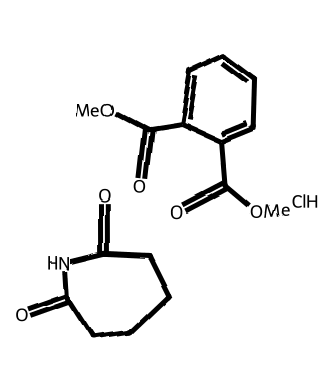 COC(=O)c1ccccc1C(=O)OC.Cl.O=C1CCCCC(=O)N1